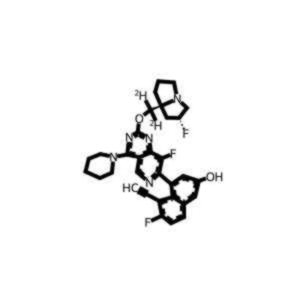 [2H]C([2H])(Oc1nc(N2CCCCC2)c2cnc(-c3cc(O)cc4ccc(F)c(C#C)c34)c(F)c2n1)[C@@]12CCCN1C[C@H](F)C2